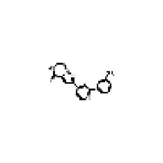 Nc1cccc(-c2cc(-c3cc4n(n3)CCNC4=O)ccn2)c1